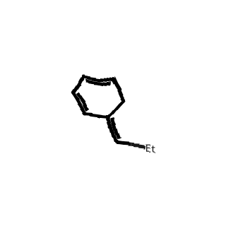 CC/C=C1/C=CC=CC1